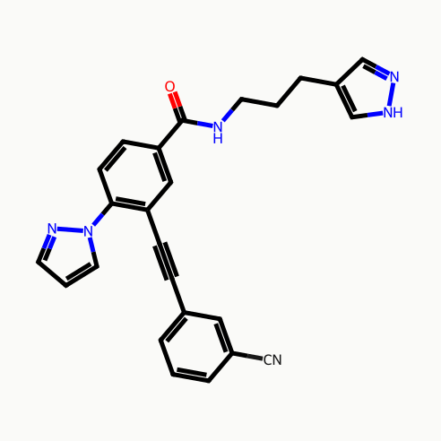 N#Cc1cccc(C#Cc2cc(C(=O)NCCCc3cn[nH]c3)ccc2-n2cccn2)c1